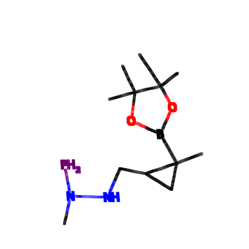 CN(P)NCC1CC1(C)B1OC(C)(C)C(C)(C)O1